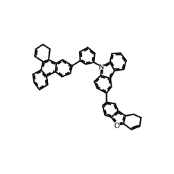 C1=Cc2oc3ccc(-c4ccc5c(c4)c4ccccc4n5-c4cccc(-c5ccc6c(c5)c5c(c7ccccc76)C=CCC5)c4)cc3c2CC1